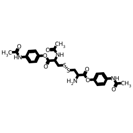 CC(=O)Nc1ccc(OC(=O)C(N)CSSCC(NC(C)=O)C(=O)Oc2ccc(NC(C)=O)cc2)cc1